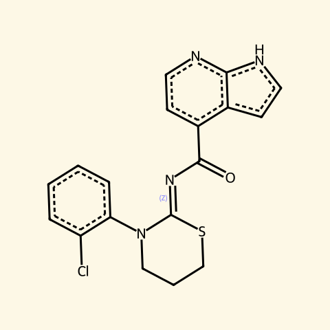 O=C(/N=C1\SCCCN1c1ccccc1Cl)c1ccnc2[nH]ccc12